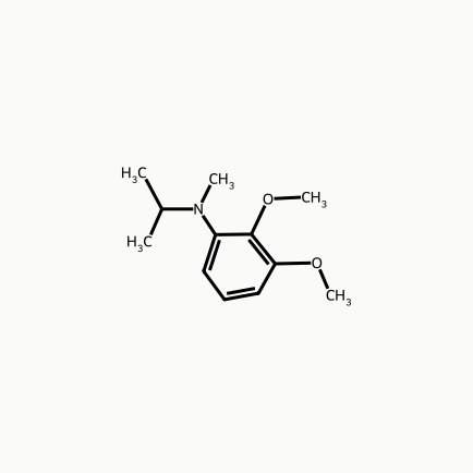 COc1cccc(N(C)C(C)C)c1OC